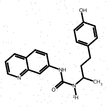 [2H]N(C(=O)Nc1ccc2cccnc2c1)C(C)CCc1ccc(O)cc1